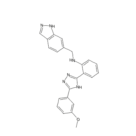 COc1cccc(-c2nnc(-c3ccccc3NCc3ccc4cn[nH]c4c3)[nH]2)c1